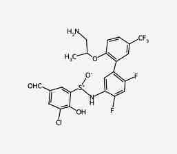 CC(CN)Oc1ccc(C(F)(F)F)cc1-c1cc(N[S+]([O-])c2cc(C=O)cc(Cl)c2O)c(F)cc1F